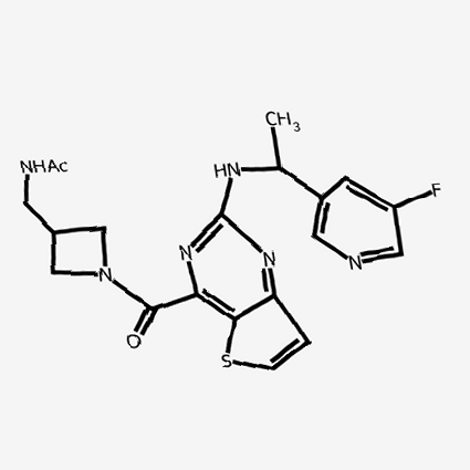 CC(=O)NCC1CN(C(=O)c2nc(NC(C)c3cncc(F)c3)nc3ccsc23)C1